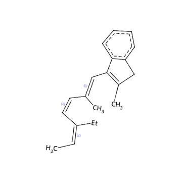 C\C=C(/C=C\C(C)=C\C1=C(C)Cc2ccccc21)CC